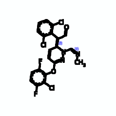 C/N=C\N1N=C(Oc2c(F)ccc(F)c2Cl)C=C/C1=C(/C=O)c1c(Cl)cccc1Cl